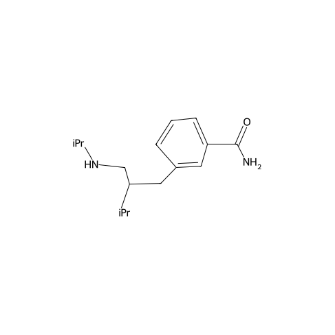 CC(C)NCC(Cc1cccc(C(N)=O)c1)C(C)C